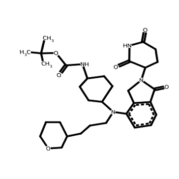 CC(C)(C)OC(=O)NC1CCC(N(CCCC2CCCOC2)c2cccc3c2CN(C2CCC(=O)NC2=O)C3=O)CC1